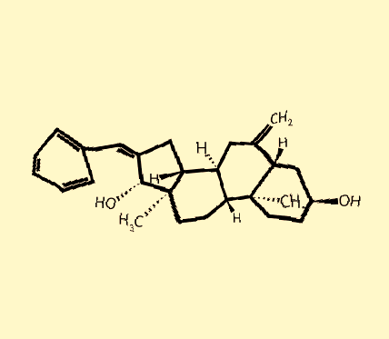 C=C1C[C@@H]2[C@H]3C/C(=C/c4ccccc4)[C@@H](O)[C@]3(C)CC[C@H]2[C@]2(C)CC[C@H](O)C[C@@H]12